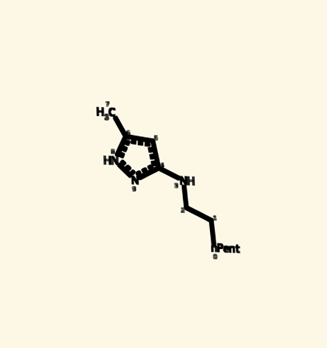 CCCCCCCNc1cc(C)[nH]n1